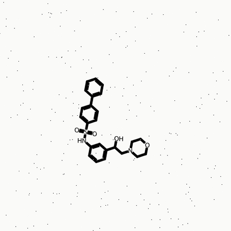 O=S(=O)(Nc1cccc(C(O)CN2CCOCC2)c1)c1ccc(-c2ccccc2)cc1